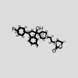 Cc1ccc2c(c1)C(O)(C1CCN(CCN3CCOC3=O)CC1)CC2c1ccc(F)cc1